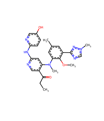 CCC(=O)c1cnc(Nc2ccc(O)cn2)cc1N(C)c1cc(C)cc(-c2ncn(C)n2)c1OC